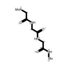 CNCC(=O)NCC(=O)NCC(=O)NC(C)(C)C